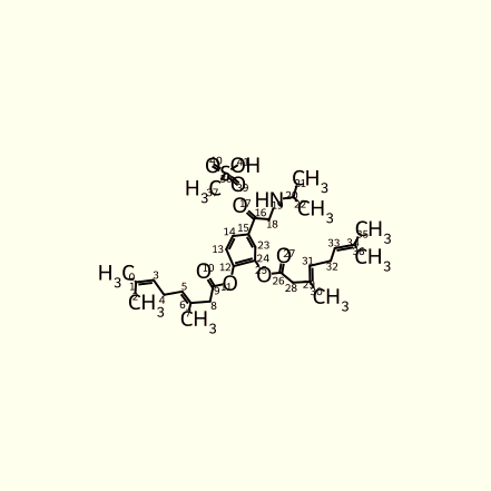 CC(C)=CCC=C(C)CC(=O)Oc1ccc(C(=O)CNC(C)C)cc1OC(=O)CC(C)=CCC=C(C)C.CS(=O)(=O)O